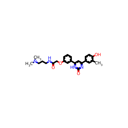 Cc1cc(-c2cc(-c3cccc(OCC(=O)NCCCN(C)C)c3)[nH]c(=O)n2)ccc1O